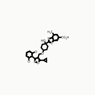 Cc1cc(C(=O)O)cc2sc(C3(O)CCC(OCc4c(-c5c(Cl)cccc5Cl)noc4C4CC4)CC3)nc12